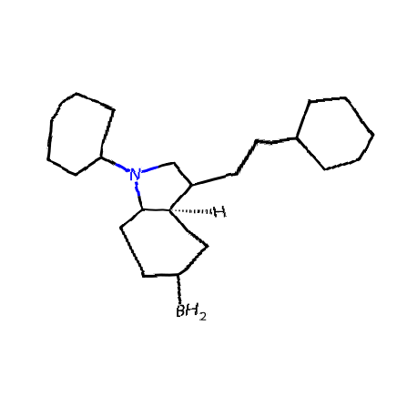 BC1CCC2[C@H](C1)C(CCC1CCCCC1)CN2C1CCCCC1